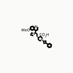 COc1ccc2nccc(C(CC[C@@H]3CCN(C4CC(c5ccccc5)C4)C[C@@H]3C(=O)O)N3CCC3)c2c1